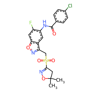 CC1(C)CC(S(=O)(=O)Cc2noc3cc(F)c(NC(=O)c4ccc(Cl)cc4)cc23)=NO1